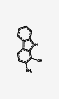 Nc1ccc2c([nH]c3ccccc32)c1O